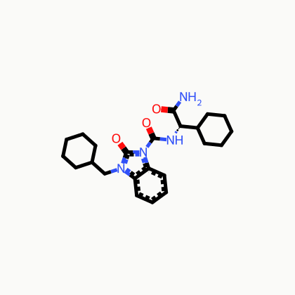 NC(=O)[C@@H](NC(=O)n1c(=O)n(CC2CCCCC2)c2ccccc21)C1CCCCC1